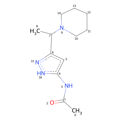 CC(=O)Nc1cc(C(C)N2CCCCC2)n[nH]1